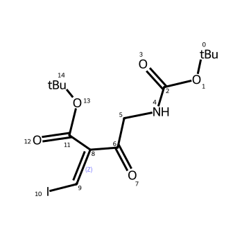 CC(C)(C)OC(=O)NCC(=O)/C(=C/I)C(=O)OC(C)(C)C